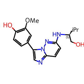 COc1cc(-c2cnc3ccc(N[C@H](CO)C(C)C)nn23)ccc1O